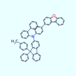 Cc1ccc(C2(c3ccccc3)c3ccccc3-c3ccc(N(c4ccc(-c5ccc6oc7ccccc7c6c5)cc4)c4ccccc4-c4ccccc4)cc32)cc1